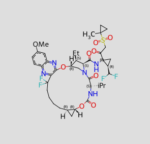 CC[C@@H]1[C@@H]2CN(C(=O)[C@H](C(C)C)NC(=O)O[C@@H]3C[C@H]3CCCCC(F)(F)c3nc4ccc(OC)cc4nc3O2)[C@@H]1C(=O)N[C@]1(C(=O)CS(=O)(=O)C2(C)CC2)C[C@H]1C(F)F